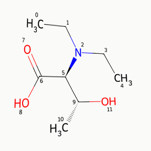 CCN(CC)[C@H](C(=O)O)[C@@H](C)O